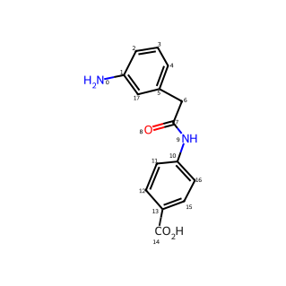 Nc1cccc(CC(=O)Nc2ccc(C(=O)O)cc2)c1